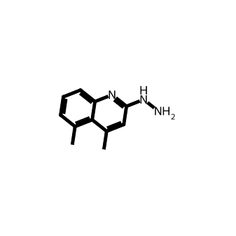 Cc1cccc2nc(NN)cc(C)c12